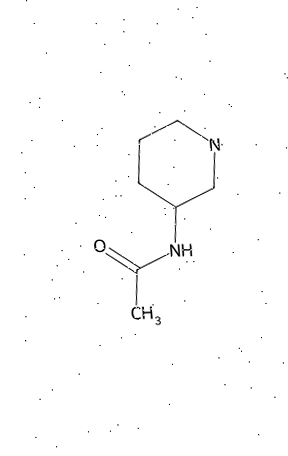 CC(=O)NC1CCC[N]C1